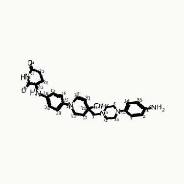 Nc1ccc(N2CCN(CC3(O)CCN(c4ccc(NC5CCC(=O)NC5=O)cc4)CC3)CC2)cc1